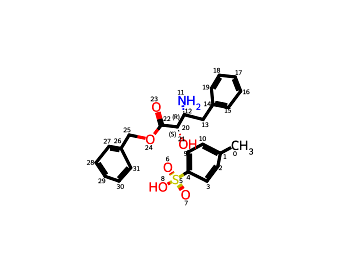 Cc1ccc(S(=O)(=O)O)cc1.N[C@H](Cc1ccccc1)[C@H](O)C(=O)OCc1ccccc1